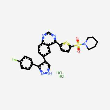 Cl.Cl.O=S(=O)(c1ccc(-c2ncnc3ccc(-c4c[nH]nc4-c4ccc(F)cc4)cc23)s1)N1CCCCC1